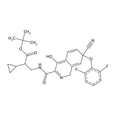 CC(C)(C)OC(=O)C(CNC(=O)C1=NCC2=CC(C#N)(Oc3c(F)cccc3F)C=CC2=C1O)C1CC1